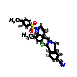 Cc1ccc(S(=O)(=O)n2ccc3c(CN4Cc5ccc(C#N)cc5C4)c(Cl)cc(C)c32)cc1